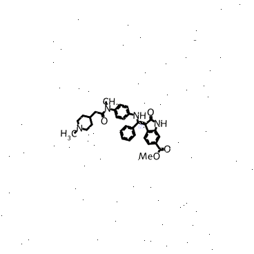 COC(=O)c1ccc2c(c1)NC(=O)/C2=C(\Nc1ccc(N(C)C(=O)CC2CCN(C)CC2)cc1)c1ccccc1